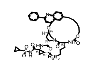 C=C[C@@H]1C[C@]1(NC(=O)[C@@H]1C[C@@H]2CN1C(=O)[C@H](CCCC)NC(=O)OCCCCCc1ccc3nc(-c4ccccc4)cc(c3c1)O2)C(=O)NS(=O)(=O)C1CC1